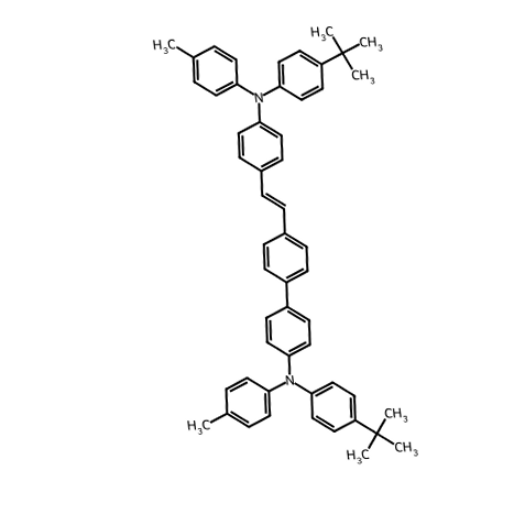 Cc1ccc(N(c2ccc(/C=C/c3ccc(-c4ccc(N(c5ccc(C)cc5)c5ccc(C(C)(C)C)cc5)cc4)cc3)cc2)c2ccc(C(C)(C)C)cc2)cc1